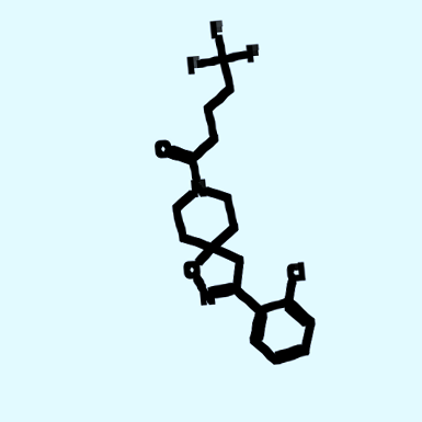 O=C(CCCC(F)(F)F)N1CCC2(CC1)CC(c1ccccc1Cl)=NO2